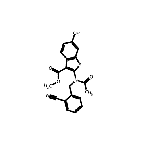 COC(=O)c1c(N(Cc2ccccc2C#N)C(C)=O)sc2cc(O)ccc12